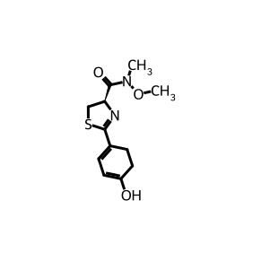 CON(C)C(=O)[C@@H]1CSC(C2=CC=C(O)CC2)=N1